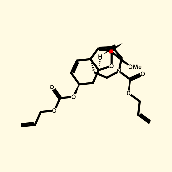 C=CCOC(=O)O[C@H]1C=C[C@@]23CCN(C(=O)OCC=C)Cc4ccc(OC)c(c42)O[C@H]3C1